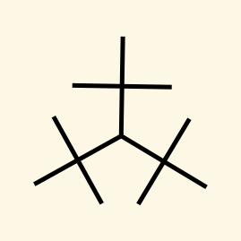 CC(C)(C)C(C(C)(C)C)C(C)(C)C